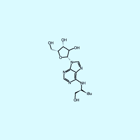 CC[C@H](C)[C@@H](CO)Nc1ncnc2c1ncn2[C@@H]1O[C@H](CO)[C@H](O)C1O